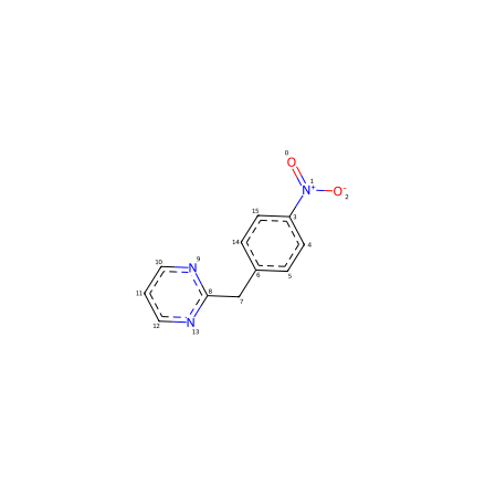 O=[N+]([O-])c1ccc(Cc2ncccn2)cc1